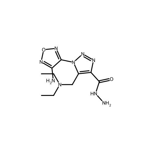 CCN(CC)Cc1c(C(=O)NN)nnn1-c1nonc1N